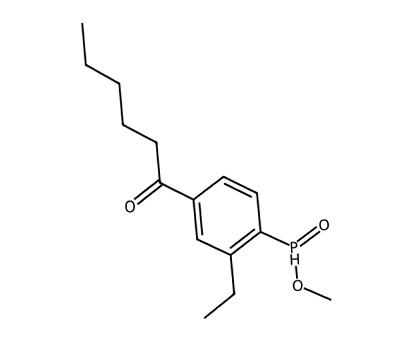 CCCCCC(=O)c1ccc([PH](=O)OC)c(CC)c1